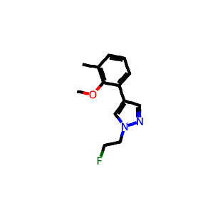 COc1c(C)cccc1-c1cnn(CCF)c1